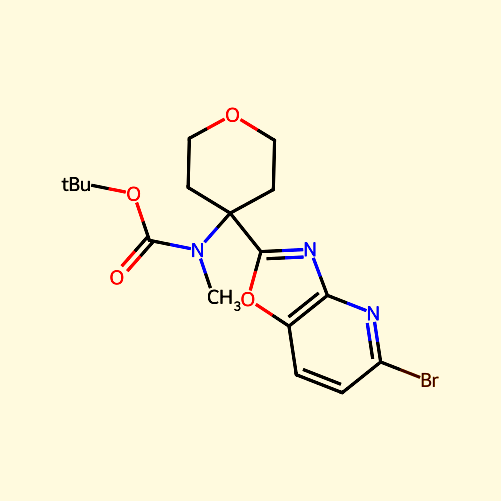 CN(C(=O)OC(C)(C)C)C1(c2nc3nc(Br)ccc3o2)CCOCC1